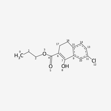 CCCOC(=O)C1=C(O)c2cc(Cl)ccc2CC1